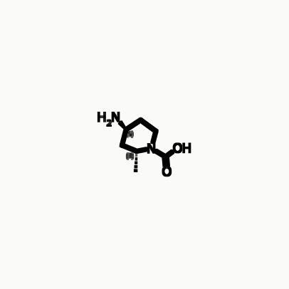 C[C@@H]1C[C@@H](N)CCN1C(=O)O